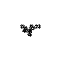 C1=C(c2ccc(-c3ccc4ccccc4c3)c3ccccc23)N=C(c2ccccc2)NC1c1ccc(-c2ccccc2)c2ccccc12